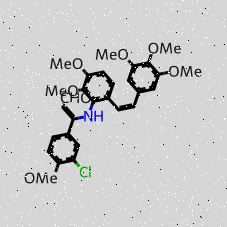 COc1ccc(/C(=C/C=O)Nc2c(/C=C\c3cc(OC)c(OC)c(OC)c3)ccc(OC)c2OC)cc1Cl